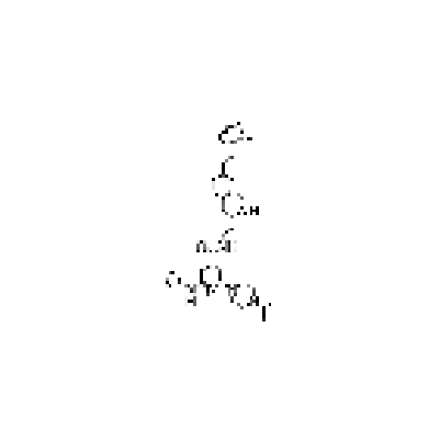 Cc1ncoc1CCc1ccc2c(c1)CN[C@H](CCNC(=O)c1cc(NC3CCC3)nc(N3CCN(C(C)C)CC3)c1)C2